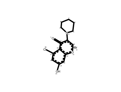 Br.O=c1c(N2CCCCC2)coc2cc(O)cc(Cl)c12